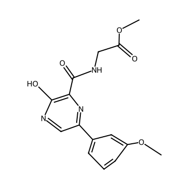 COC(=O)CNC(=O)c1nc(-c2cccc(OC)c2)cnc1O